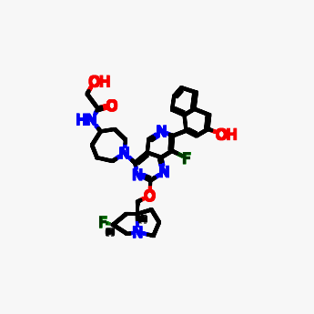 O=C(CO)NC1CCCN(c2nc(OC[C@@]34CCCN3C[C@H](F)C4)nc3c(F)c(-c4cc(O)cc5ccccc45)ncc23)CC1